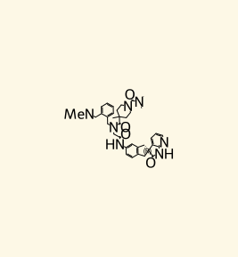 CNCc1ccccc1CN(CC(=O)Nc1ccc2c(c1)C[C@@]1(C2)C(=O)Nc2ncccc21)C(=O)C1(C)CCN(C(=O)N(C)C)CC1